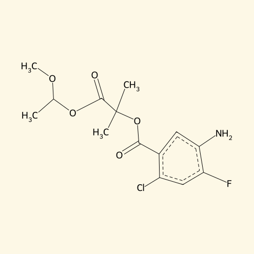 COC(C)OC(=O)C(C)(C)OC(=O)c1cc(N)c(F)cc1Cl